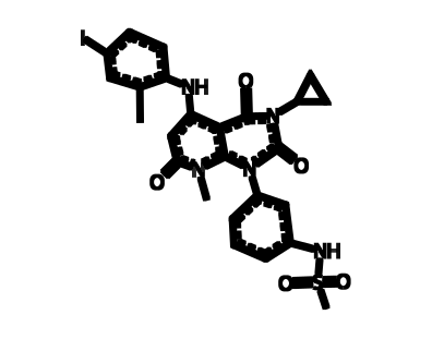 Cc1cc(I)ccc1Nc1cc(=O)n(C)c2c1c(=O)n(C1CC1)c(=O)n2-c1cccc(NS(C)(=O)=O)c1